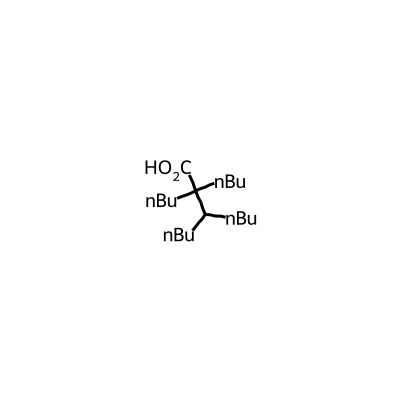 CCCCC(CCCC)C(CCCC)(CCCC)C(=O)O